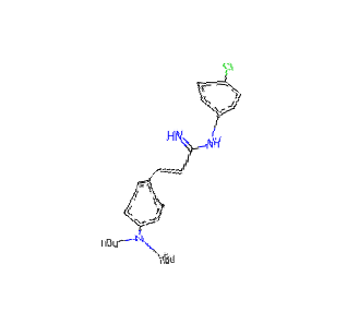 CCCCN(CCCC)c1ccc(/C=C/C(=N)Nc2ccc(Cl)cc2)cc1